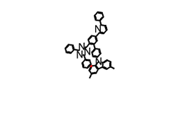 Cc1ccc2c(c1)c1cc(C)ccc1n2-c1ccc(-c2cc(-c3cccc(-c4ccccc4)n3)ccc2-c2nc(-c3ccccc3)nc(-c3ccccc3)n2)cc1